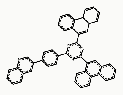 C1=CC2C=C(c3nc(-c4ccc(-c5cnc6ccccc6c5)cc4)nc(-c4cc5ccccc5c5ccccc45)n3)c3ccccc3C2C=C1